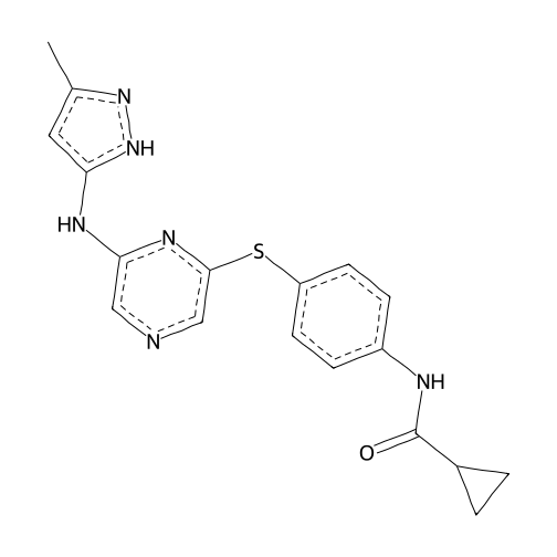 Cc1cc(Nc2cncc(Sc3ccc(NC(=O)C4CC4)cc3)n2)[nH]n1